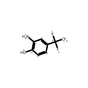 Nc1cc(C(F)(F)C(F)(F)F)ccc1O